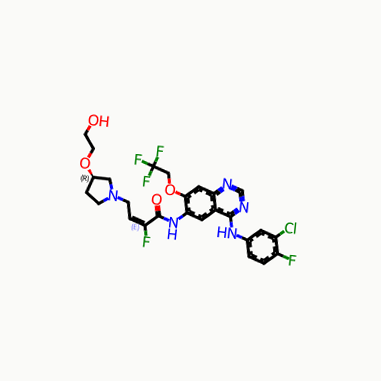 O=C(Nc1cc2c(Nc3ccc(F)c(Cl)c3)ncnc2cc1OCC(F)(F)F)/C(F)=C\CN1CC[C@@H](OCCO)C1